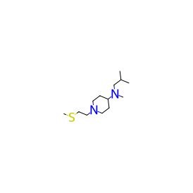 CSCCN1CCC(N(C)CC(C)C)CC1